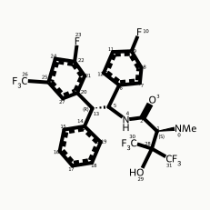 CN[C@H](C(=O)NC(c1ccc(F)cc1)[C@H](c1ccccc1)c1cc(F)cc(C(F)(F)F)c1)C(O)(C(F)(F)F)C(F)(F)F